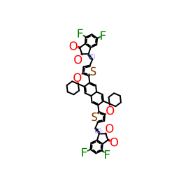 O=C1C(=O)c2c(F)cc(F)cc2/C1=C/c1cc2c(s1)C1=CC3C=C4C(=CC3C=C1C1(CCCCC1)O2)c1sc(/C=C2\C(=O)C(=O)c3c(F)cc(F)cc32)cc1OC41CCCCC1